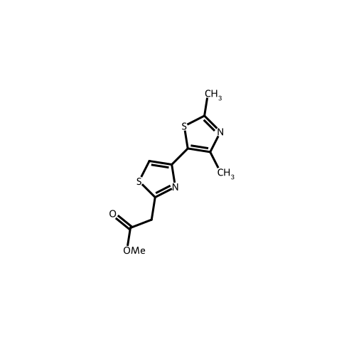 COC(=O)Cc1nc(-c2sc(C)nc2C)cs1